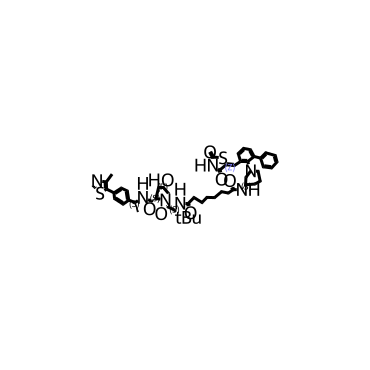 Cc1ncsc1-c1ccc([C@H](C)NC(=O)[C@@H]2C[C@@H](O)CN2C(=O)[C@@H](NC(=O)CCCCCCC(=O)N[C@H]2CCCN(c3c(/C=C4\SC(=O)NC4=O)cccc3-c3ccccc3)C2)C(C)(C)C)cc1